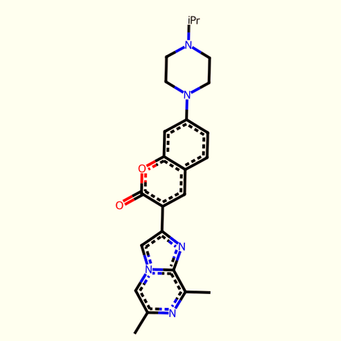 Cc1cn2cc(-c3cc4ccc(N5CCN(C(C)C)CC5)cc4oc3=O)nc2c(C)n1